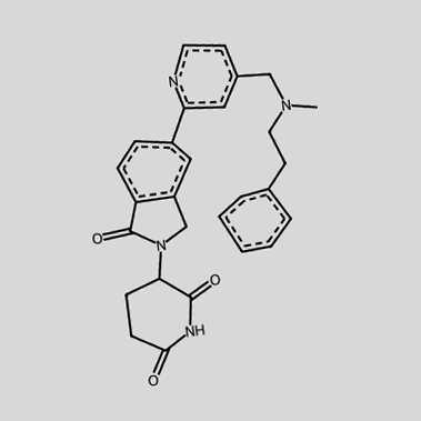 CN(CCc1ccccc1)Cc1ccnc(-c2ccc3c(c2)CN(C2CCC(=O)NC2=O)C3=O)c1